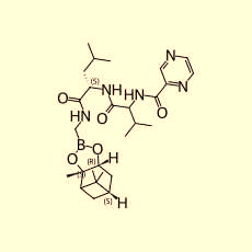 CC(C)C[C@H](NC(=O)C(NC(=O)c1cnccn1)C(C)C)C(=O)NCB1O[C@@H]2C[C@@H]3CC(C3(C)C)[C@]2(C)O1